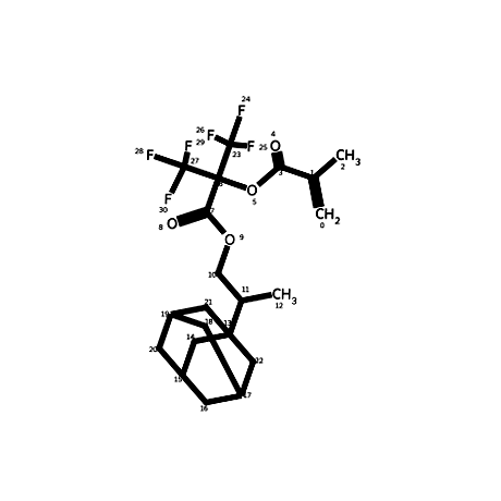 C=C(C)C(=O)OC(C(=O)OCC(C)C12CC3CC(CC(C3)C1)C2)(C(F)(F)F)C(F)(F)F